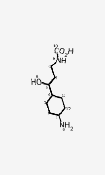 NC1CCC(C(O)CCNC(=O)O)CC1